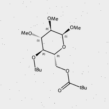 CO[C@H]1O[C@H](COC(=O)C(C)(C)C)[C@@H](OC(C)(C)C)[C@H](OC)[C@H]1OC